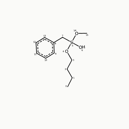 CCCCO[Si](O)(Cc1ccccc1)OC